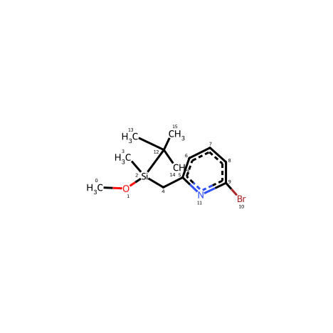 CO[Si](C)(Cc1cccc(Br)n1)C(C)(C)C